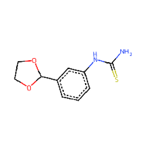 NC(=S)Nc1cccc(C2OCCO2)c1